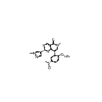 CCCOc1ccc([S+](C)[O-])cc1-c1cn(C)c(=O)c2cnc(-c3cnn(C)c3)nc12